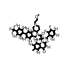 [2H]c1c([2H])c(F)c(F)c(CSc2c([2H])c(=O)c3c([2H])c(C)c([2H])c([2H])c3n2C([2H])([2H])C(=O)N(Cc2c([2H])c([2H])c(-c3c([2H])c([2H])c(C(F)(F)F)c([2H])c3[2H])c([2H])c2[2H])C2CCN(CCOC)CC2)c1[2H]